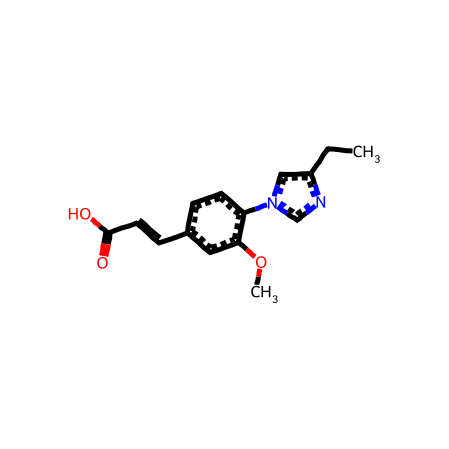 CCc1cn(-c2ccc(C=CC(=O)O)cc2OC)cn1